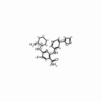 NC(=O)c1cc(F)c(N[C@@H]2CCCC[C@@H]2N)nc1Nc1cncc(-c2ccno2)c1